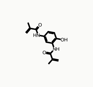 C=C(C)C(=O)Nc1ccc(O)c(NC(=O)C(=C)C)c1